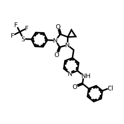 O=C(Nc1cc(CN2C(=O)N(c3ccc(SC(F)(F)F)cc3)C(=O)C23CC3)ccn1)c1cccc(Cl)c1